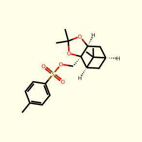 Cc1ccc(S(=O)(=O)OC[C@]23OC(C)(C)O[C@H]2C[C@H]2C[C@@H]3C2(C)C)cc1